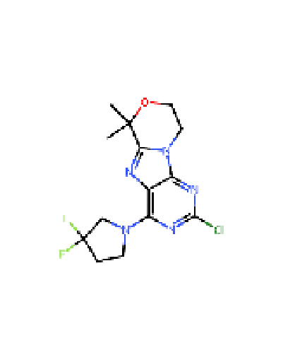 CC1(C)OCCn2c1nc1c(N3CCC(F)(F)C3)nc(Cl)nc12